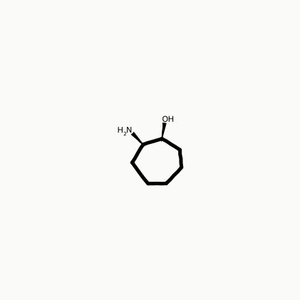 N[C@@H]1CCCCC[C@@H]1O